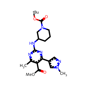 COC(=O)c1c(C)nc(NC2CCCN(C(=O)OC(C)(C)C)C2)nc1-c1cnn(C)c1